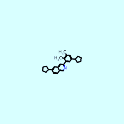 Cc1cc(C2CCCC2)cc(-c2cc3cc(C4CCCC4)ccc3cn2)c1C